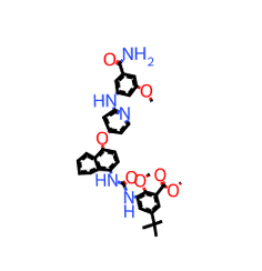 COC(=O)c1cc(C(C)(C)C)cc(NC(=O)Nc2ccc(Oc3ccnc(Nc4cc(OC)cc(C(N)=O)c4)c3)c3ccccc23)c1OC